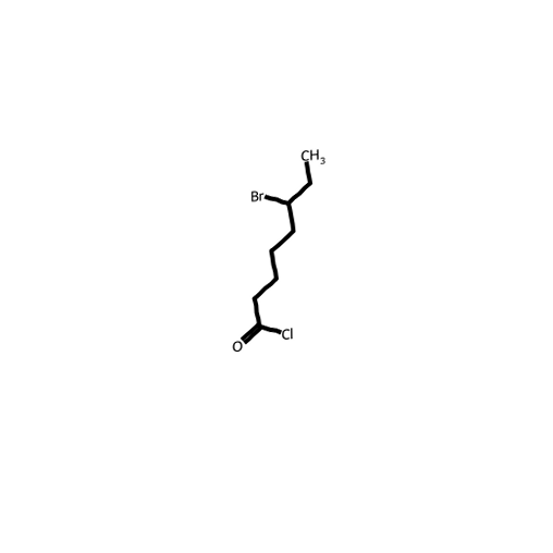 CCC(Br)CCCCC(=O)Cl